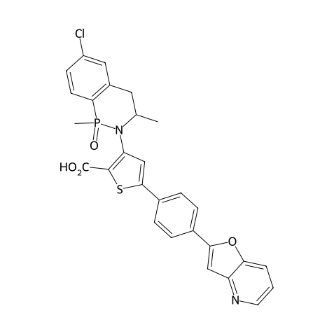 CC1Cc2cc(Cl)ccc2P(C)(=O)N1c1cc(-c2ccc(-c3cc4ncccc4o3)cc2)sc1C(=O)O